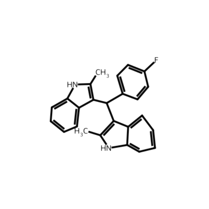 Cc1[nH]c2ccccc2c1C(c1ccc(F)cc1)c1c(C)[nH]c2ccccc12